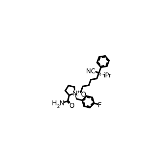 CC(C)[C@@](C#N)(CCCCC(=O)[N@@+]1(Cc2ccc(F)cc2)CCCC1C(N)=O)c1ccccc1